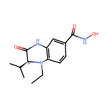 CCN1c2ccc(C(=O)NO)cc2NC(=O)[C@@H]1C(C)C